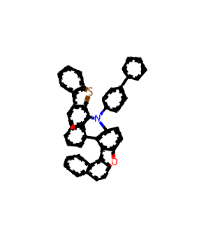 c1ccc(-c2ccc(N(c3ccc4oc5ccc6ccccc6c5c4c3-c3ccccc3)c3cccc4c3sc3ccccc34)cc2)cc1